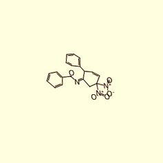 O=C(/N=C1/CC([N+](=O)[O-])([N+](=O)[O-])C=CC1c1ccccc1)c1ccccc1